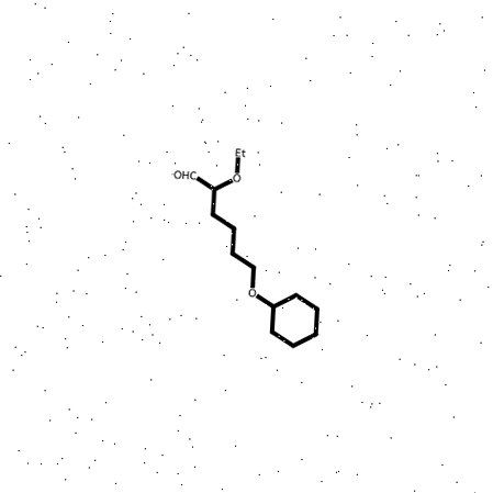 CCOC([C]=O)CCCCOC1CC[CH]CC1